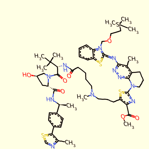 COC(=O)c1nc(N2CCCc3c2nnc(/N=c2\sc4ccccc4n2COCC[Si](C)(C)C)c3C)sc1CCCN(C)CCCCC(=O)N[C@H](C(=O)N1C[C@H](O)C[C@H]1C(=O)N[C@@H](C)c1ccc(-c2scnc2C)cc1)C(C)(C)C